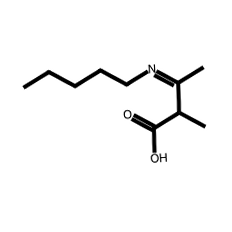 CCCCCN=C(C)C(C)C(=O)O